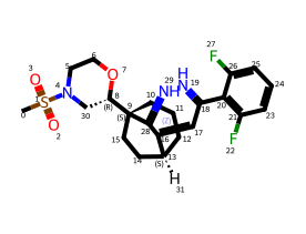 CS(=O)(=O)N1CCO[C@H]([C@@]23CCC[C@@H](CC2)/C(=C/C(=N)c2c(F)cccc2F)C3=N)C1